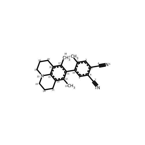 Cc1cc(C#N)c(C#N)cc1-c1c(C)c2c3c(c1C)CCCN3CCC2